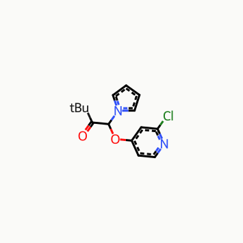 CC(C)(C)C(=O)C(Oc1ccnc(Cl)c1)n1cccc1